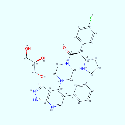 O=C([C@@H](c1ccc(Cl)cc1)[C@@H]1CCCN1)N1CCN(c2c(-c3ccccc3)cnc3[nH]nc(OC[C@H](O)CO)c23)CC1